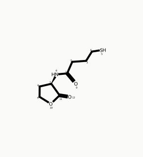 O=C(CCCS)N[C@@H]1CCOC1=O